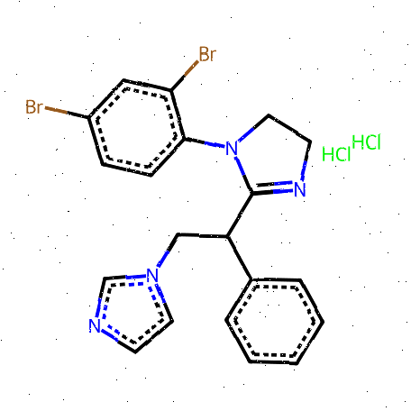 Brc1ccc(N2CCN=C2C(Cn2ccnc2)c2ccccc2)c(Br)c1.Cl.Cl